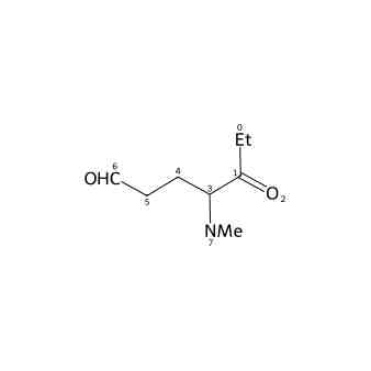 CCC(=O)C(CCC=O)NC